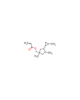 C=CC(=O)OCC1(C)CC(C)C(C2CC2C)C1